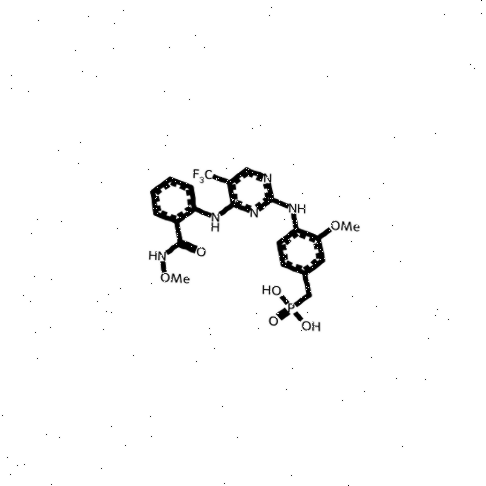 CONC(=O)c1ccccc1Nc1nc(Nc2ccc(CP(=O)(O)O)cc2OC)ncc1C(F)(F)F